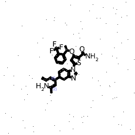 C=C/C=C(\C=C(\C)N)C1C=Cc2c(ncn2-c2cc(OC(C)c3ccccc3C(F)(F)F)c(C(N)=O)s2)C1